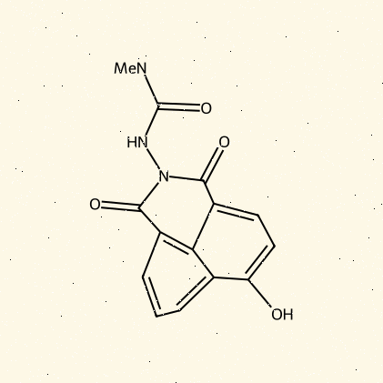 CNC(=O)NN1C(=O)c2cccc3c(O)ccc(c23)C1=O